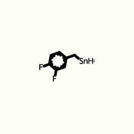 Fc1ccc([CH2][SnH])cc1F